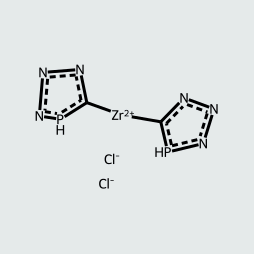 [Cl-].[Cl-].n1n[pH][c]([Zr+2][c]2nnn[pH]2)n1